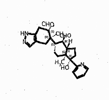 C[C@]1([C@H]2CC[C@@]3(C)[C@@H](CC[C@@]3(O)c3ccccn3)[C@@H]2C=O)Cc2cn[nH]c2C[C@@H]1C=O